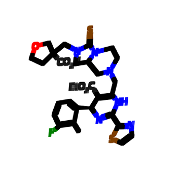 CCOC(=O)C1=C(CN2CCN3C(=S)N(CC4(C(=O)O)CCOC4)CC3C2)NC(c2nccs2)=N[C@H]1c1cccc(F)c1C